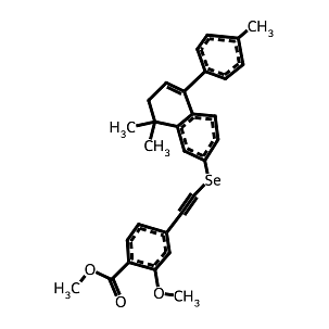 COC(=O)c1ccc(C#C[Se]c2ccc3c(c2)C(C)(C)CC=C3c2ccc(C)cc2)cc1OC